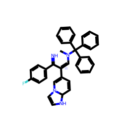 CN(/C=C(\C(=N)c1ccc(F)cc1)C1=CN2C=CNC2C=C1)C(c1ccccc1)(c1ccccc1)c1ccccc1